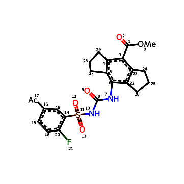 COC(=O)c1c2c(c(NC(=O)NS(=O)(=O)c3cc(C(C)=O)ccc3F)c3c1CCC3)CCC2